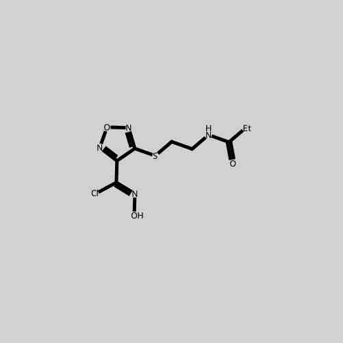 CCC(=O)NCCSc1nonc1/C(Cl)=N/O